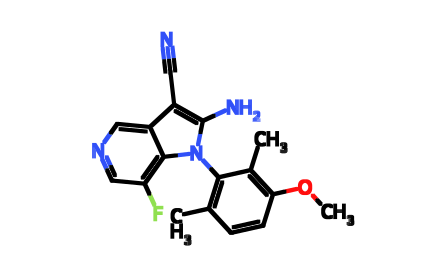 COc1ccc(C)c(-n2c(N)c(C#N)c3cncc(F)c32)c1C